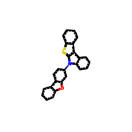 c1ccc2c(c1)oc1cc(-n3c4ccccc4c4c5ccccc5sc43)ccc12